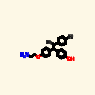 CCC(=C(c1ccc(O)cc1)c1ccc(OCCN)cc1)c1ccc(CC)cc1